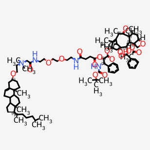 CC(=O)O[C@@]12CO[C@@H]1C[C@H](C)[C@@]1(C)C(=O)[C@H](C)C3=C(C)[C@@H](OC(=O)[C@H](OC(=O)CCC(=O)NCCOCCOCCNC(=O)C[N+](C)(C)CCO[C@H]4CC[C@@]5(C)C(=CCC6C5CC[C@@]5(C)C6CC[C@@H]5[C@H](C)CCCC(C)C)C4)[C@@H](NC(=O)OC(C)(C)C)c4ccccc4)C[C@@](O)([C@@H](OC(=O)c4ccccc4)[C@H]21)C3(C)C